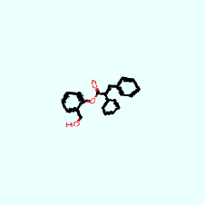 O=C(Oc1ccccc1CO)/C(=C/c1ccccc1)c1ccccc1